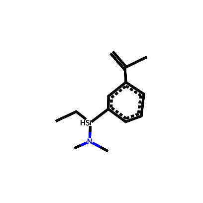 C=C(C)c1cccc([SiH](CC)N(C)C)c1